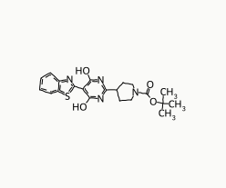 CC(C)(C)OC(=O)N1CCC(c2nc(O)c(-c3nc4ccccc4s3)c(O)n2)CC1